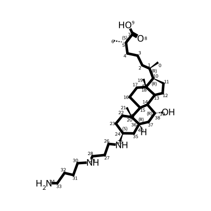 C[C@H](CCC[C@H](C)C(=O)O)[C@H]1CCC2C3C(CC[C@@]21C)[C@@]1(C)CC[C@H](NCCCNCCCCN)C[C@@H]1C[C@H]3O